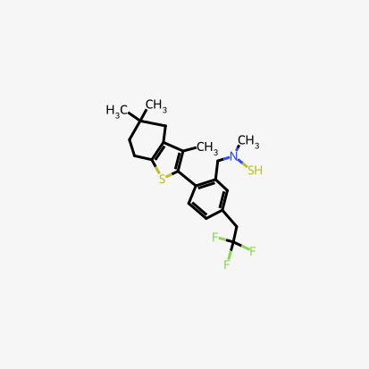 Cc1c(-c2ccc(CC(F)(F)F)cc2CN(C)S)sc2c1CC(C)(C)CC2